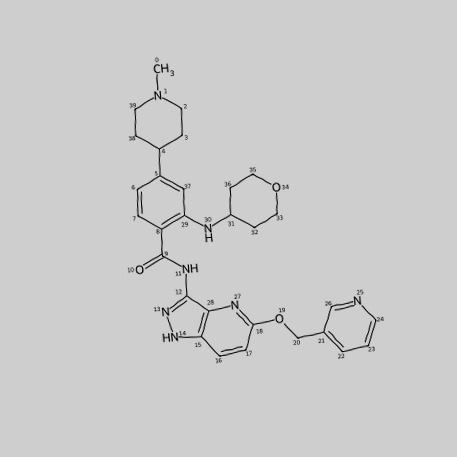 CN1CCC(c2ccc(C(=O)Nc3n[nH]c4ccc(OCc5cccnc5)nc34)c(NC3CCOCC3)c2)CC1